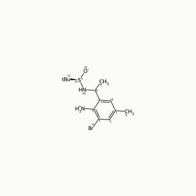 Cc1cc(Br)c(N)c(C(C)N[S@+]([O-])C(C)(C)C)c1